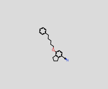 N#Cc1ccc(OCCCCCc2ccccc2)c2c1CCC2